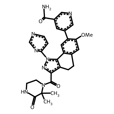 COc1cc2c(cc1-c1cncc(C(N)=O)c1)-c1c(c(C(=O)N3CCNC(=O)C3(C)C)nn1-c1ccncn1)CC2